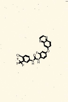 O=C(Nc1ccc(Cl)c(C(F)(F)F)c1)Nc1ccc(Oc2ccc3nccnc3c2)cc1F